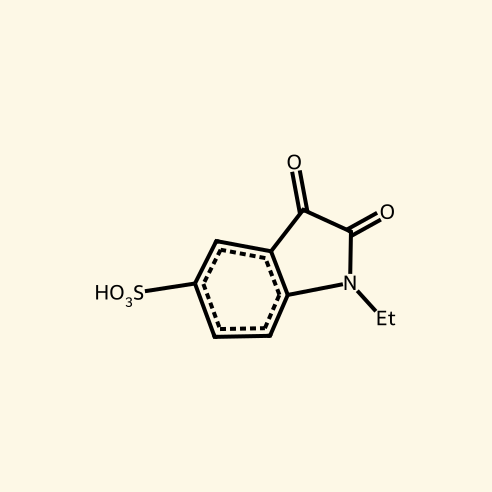 CCN1C(=O)C(=O)c2cc(S(=O)(=O)O)ccc21